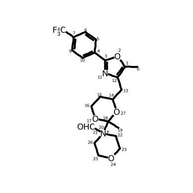 Cc1oc(-c2ccc(C(F)(F)F)cc2)nc1CC1CCOC(C)([N+]2(C=O)CCOCC2)O1